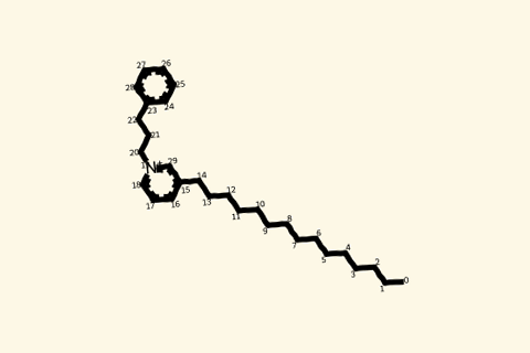 CCCCCCCCCCCCCCCc1ccc[n+](CCCc2ccccc2)c1